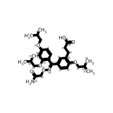 CC(C)COc1ccc(/C(=N\OCC(N)=O)c2ccc(OCC(C)C)c(CCC(=O)O)c2)c(OCC(C)C)c1